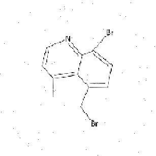 Cc1ccnc2c(Br)ccc(CBr)c12